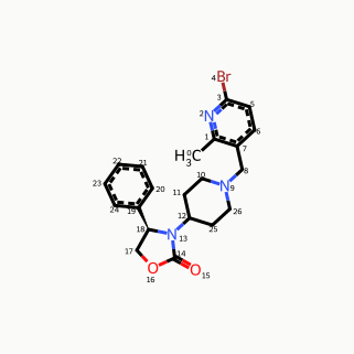 Cc1nc(Br)ccc1CN1CCC(N2C(=O)OC[C@H]2c2ccccc2)CC1